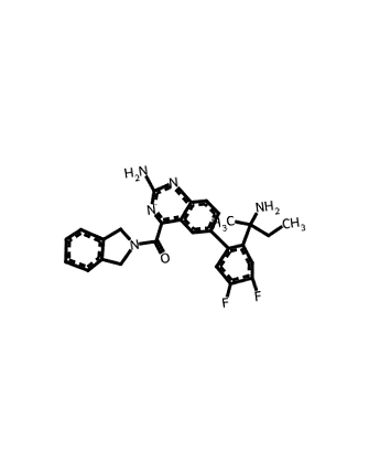 CCC(C)(N)c1cc(F)c(F)cc1-c1ccc2nc(N)nc(C(=O)N3Cc4ccccc4C3)c2c1